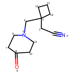 N#CCC1(CN2CCC(=O)CC2)CCC1